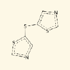 c1ncc(Sc2cncs2)s1